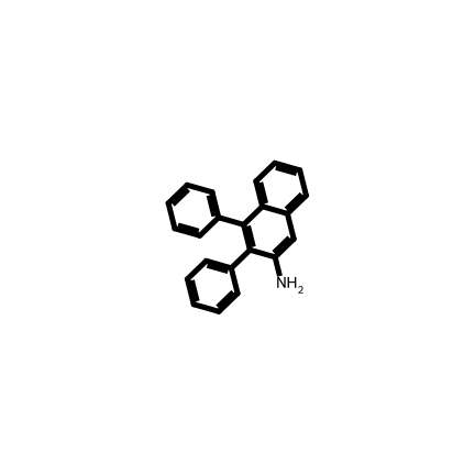 Nc1cc2ccccc2c(-c2ccccc2)c1-c1ccccc1